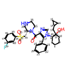 O=C(c1ncn([C@@H]2CCCC[C@@]2(O)CC2CC2)c1-c1ccccc1)N1CCNC[C@H]1CS(=O)(=O)c1cccc(F)c1